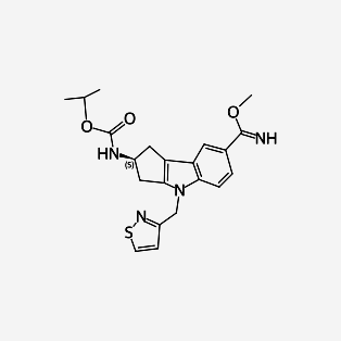 COC(=N)c1ccc2c(c1)c1c(n2Cc2ccsn2)C[C@@H](NC(=O)OC(C)C)C1